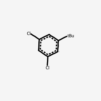 CC(C)(C)c1[c]c(Cl)cc(Cl)c1